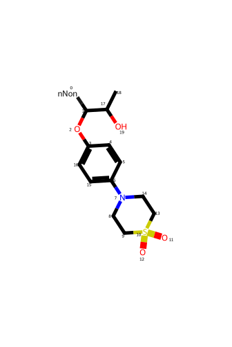 CCCCCCCCCC(Oc1ccc(N2CCS(=O)(=O)CC2)cc1)C(C)O